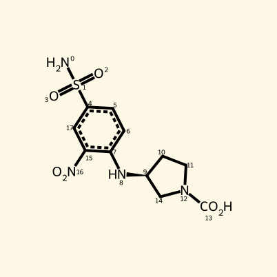 NS(=O)(=O)c1ccc(N[C@H]2CCN(C(=O)O)C2)c([N+](=O)[O-])c1